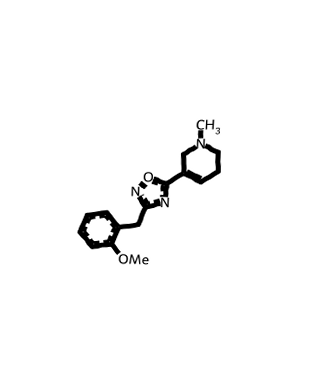 COc1ccccc1Cc1noc(C2=CCCN(C)C2)n1